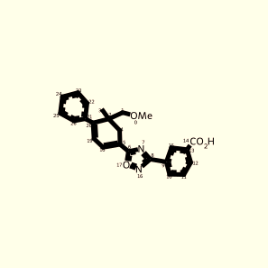 COCC1(C)CC(c2nc(-c3cccc(C(=O)O)c3)no2)=CC=C1c1ccccc1